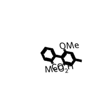 COc1cc(C)cc(OC)c1-c1ccccc1C(=O)O